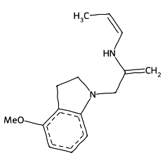 C=C(CN1CCc2c(OC)cccc21)N/C=C\C